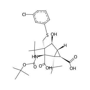 CC(C)(C)OC(=O)N[C@]1(C(=O)O)[C@@]2(C(C)(C)C)[C@@H]([C@H]2C(=O)O)[C@H](O)[C@]1(CSc1cccc(Cl)c1)C(C)(C)C